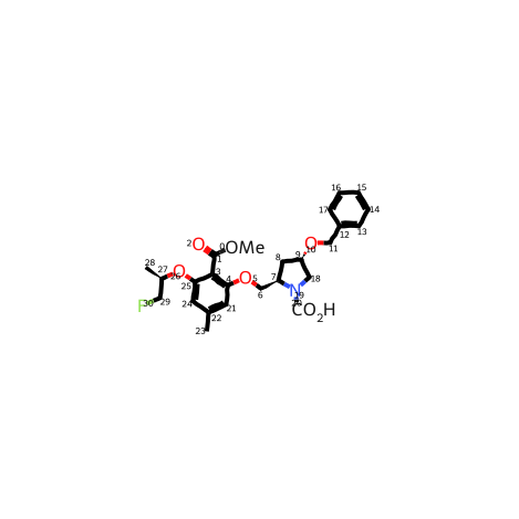 COC(=O)c1c(OC[C@H]2C[C@H](OCc3ccccc3)CN2C(=O)O)cc(C)cc1O[C@H](C)CF